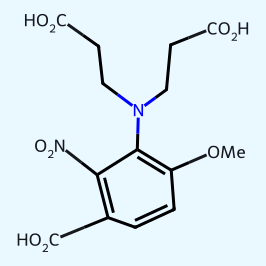 COc1ccc(C(=O)O)c([N+](=O)[O-])c1N(CCC(=O)O)CCC(=O)O